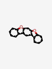 c1ccc2c(c1)oc1cc3oc4ccccc4c3cc12